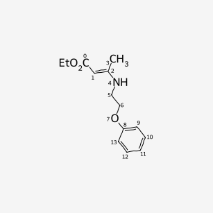 CCOC(=O)C=C(C)NCCOc1ccccc1